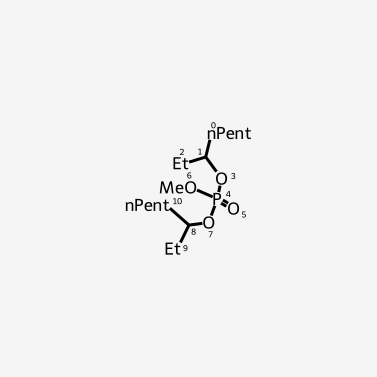 CCCCCC(CC)OP(=O)(OC)OC(CC)CCCCC